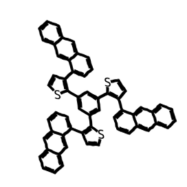 c1ccc2cc3c(-c4ccsc4-c4cc(-c5sccc5-c5cccc6cc7ccccc7cc56)cc(-c5sccc5-c5cccc6cc7ccccc7cc56)c4)cccc3cc2c1